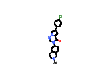 CC(=O)N1CCc2cc(-n3cnn4cc(-c5ccc(Cl)cc5)cc4c3=O)ccc2C1